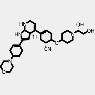 N#C[C@@H]1CC(C2=CCNC3NC(C4=CCC(N5CCOCC5)CC4)=C[C@H]23)=CCC1OC1CCN([C@H](O)CO)CC1